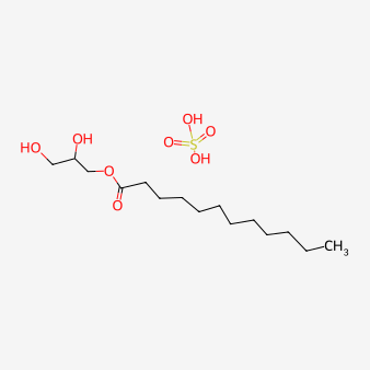 CCCCCCCCCCCC(=O)OCC(O)CO.O=S(=O)(O)O